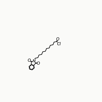 O=C(Cl)CCCCCCCCCCCN1C(=O)c2ccccc2C1=O